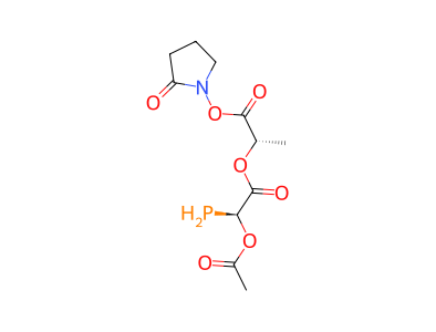 CC(=O)O[C@@H](P)C(=O)O[C@@H](C)C(=O)ON1CCCC1=O